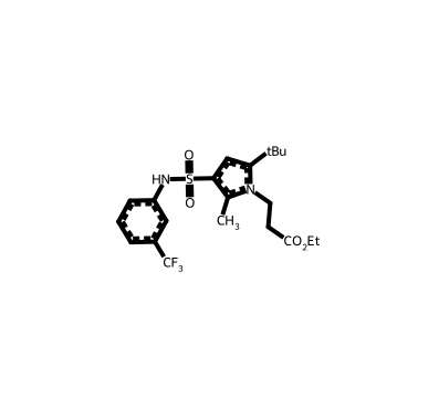 CCOC(=O)CCn1c(C(C)(C)C)cc(S(=O)(=O)Nc2cccc(C(F)(F)F)c2)c1C